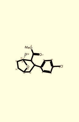 COC(=O)C1C(c2ccc(Cl)cc2)CC2CC[C@@H]1O2